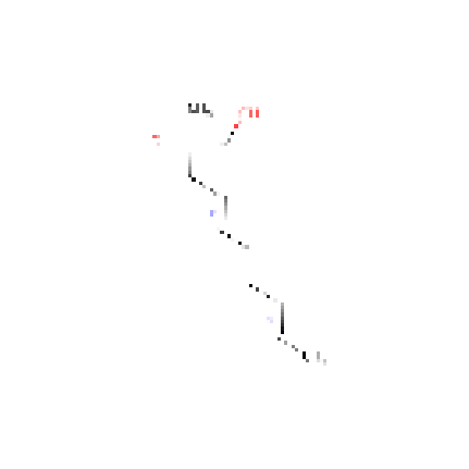 C/C=C/CC/C=C/CC(C)(O)CO